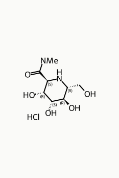 CNC(=O)[C@H]1N[C@H](CO)[C@@H](O)[C@H](O)[C@@H]1O.Cl